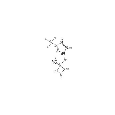 CC(C)(C)c1cn(CC2(O)COC2)nn1